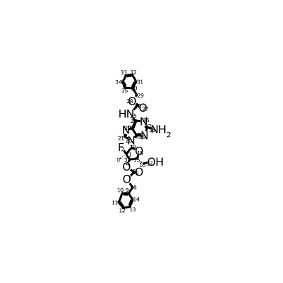 C[C@@]1(F)C(OC(=O)OCc2ccccc2)[C@@H](CO)O[C@H]1n1cnc2c(NC(=O)OCc3ccccc3)nc(N)nc21